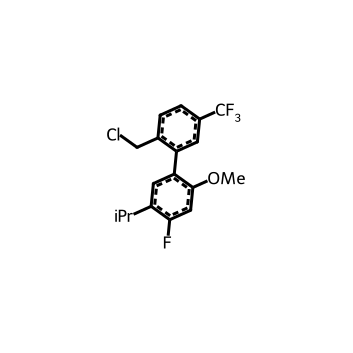 COc1cc(F)c(C(C)C)cc1-c1cc(C(F)(F)F)ccc1CCl